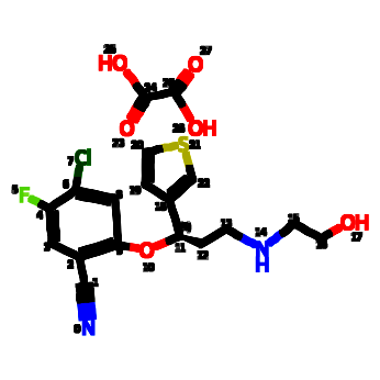 N#Cc1cc(F)c(Cl)cc1O[C@H](CCNCCO)c1ccsc1.O=C(O)C(=O)O